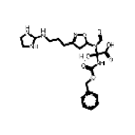 CC(NC(=O)OCc1ccccc1)(C(=O)O)N(C=O)C1CC(CCCNC2NCCN2)=NO1